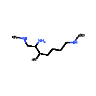 CCCCCCCCNCCCCC(CCC)C(N)CNCCC